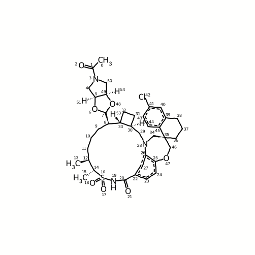 CC(=O)N1C[C@@H]2OC([C@@H]3CCC[C@H](C)[C@@H](C)S(=O)(=O)NC(=O)c4ccc5c(c4)N(C[C@@H]4CC[C@H]43)C[C@@]3(CCCc4cc(Cl)ccc43)CO5)O[C@@H]2C1